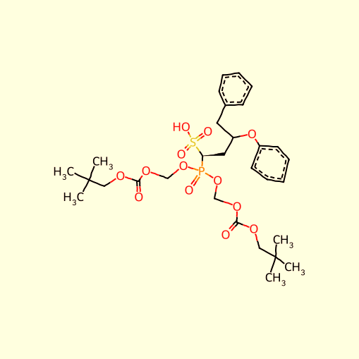 CC(C)(C)COC(=O)OCOP(=O)(OCOC(=O)OCC(C)(C)C)[C@H](CC(Cc1ccccc1)Oc1ccccc1)S(=O)(=O)O